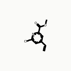 C=Cc1cc(Cl)nc(C(=O)OC)c1